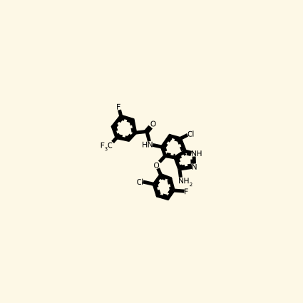 Nc1n[nH]c2c(Cl)cc(NC(=O)c3cc(F)cc(C(F)(F)F)c3)c(Oc3cc(F)ccc3Cl)c12